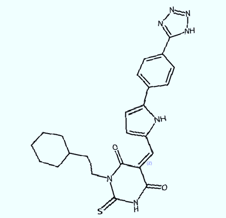 O=C1NC(=S)N(CCC2CCCCC2)C(=O)/C1=C\c1ccc(-c2ccc(-c3nnn[nH]3)cc2)[nH]1